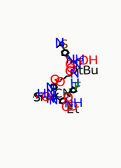 CCS(=O)(=O)Nc1ccc(-c2nn(COCC[Si](C)(C)C)c(Nc3ccc(C(=O)OCCCCC(=O)NC(C(=O)N4C[C@H](O)C[C@H]4C(=O)NCc4ccc(-c5scnc5C)cc4)C(C)(C)C)cn3)c2C#N)cc1OC(C)c1ccc(F)cc1